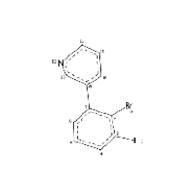 Brc1c(I)cccc1-c1cccnc1